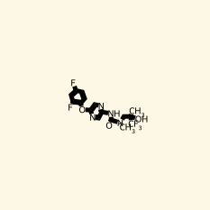 CN(CC(C)(O)C(F)(F)F)C(=O)Nc1cnc(Oc2ccc(F)cc2F)cn1